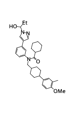 CCC(O)n1cc(-c2cccc(N(CC3CCC(c4ccc(OC)c(C)c4)CC3)C(=O)C3CCCCC3)c2)cn1